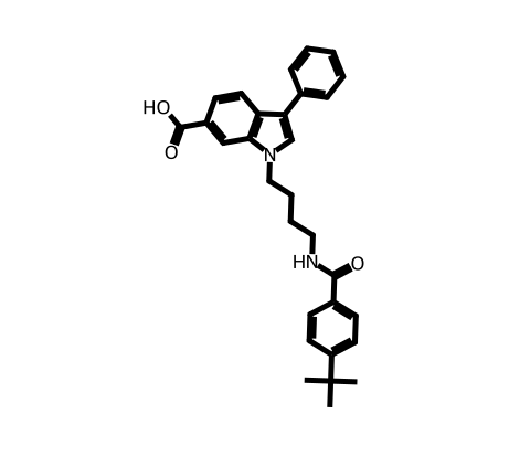 CC(C)(C)c1ccc(C(=O)NCCCCn2cc(-c3ccccc3)c3ccc(C(=O)O)cc32)cc1